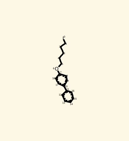 ICCCCCOc1ccc(-c2ccccc2)cc1